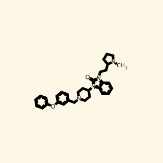 CN1CCCC1CCn1c(=O)n(C2CCN(Cc3cccc(Oc4ccccc4)c3)CC2)c2ccccc21